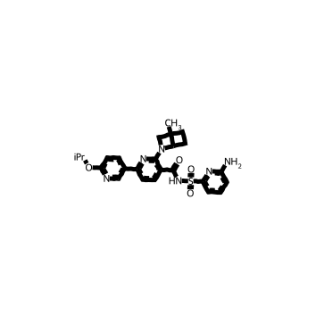 CC(C)Oc1ccc(-c2ccc(C(=O)NS(=O)(=O)c3cccc(N)n3)c(N3CC4(C)CCC34)n2)cn1